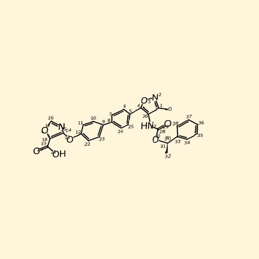 Cc1noc(-c2ccc(-c3ccc(Oc4ncoc4C(=O)O)cc3)cc2)c1NC(=O)O[C@H](C)c1ccccc1